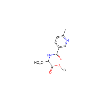 CCC(C)OC(=O)C(NC(=O)c1ccc(C)nc1)C(=O)O